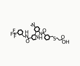 CN(C)c1ccc(NC(=O)c2cccc(CSCCC(=O)O)c2)c(-c2cc(C(=O)NCc3cccc(C(F)(F)F)c3)ccn2)c1